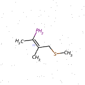 CSC/C(C)=C(/C)P